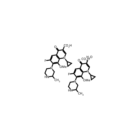 COc1c(N2CCNC(C)C2)c(F)cc2c(=O)c(C(=O)O)cn(C3CC3)c12.COc1c(N2CCNC(C)C2)c(F)cc2c(=O)c(C(=O)O)cn(C3CC3)c12.O